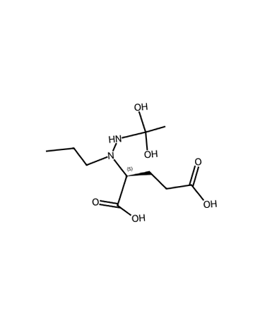 CCCN(NC(C)(O)O)[C@@H](CCC(=O)O)C(=O)O